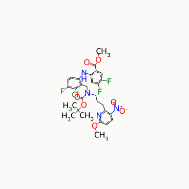 COC(=O)c1cc(F)c(F)cc1Nc1ccc(F)c(Cl)c1CN(CCCc1nc(OC)ccc1[N+](=O)[O-])C(=O)OC(C)(C)C